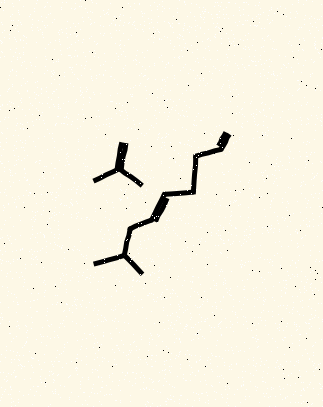 C=C(C)C.C=CCCC=CCC(C)C